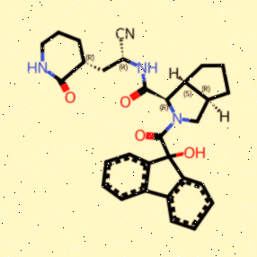 N#C[C@@H](C[C@H]1CCCNC1=O)NC(=O)[C@H]1[C@H]2CCC[C@H]2CN1C(=O)C1(O)c2ccccc2-c2ccccc21